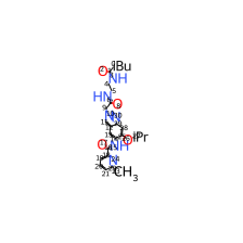 CCC(C)C(=O)NCCNC(=O)Cn1cc2cc(NC(=O)c3cccc(C)n3)c(OC(C)C)cc2n1